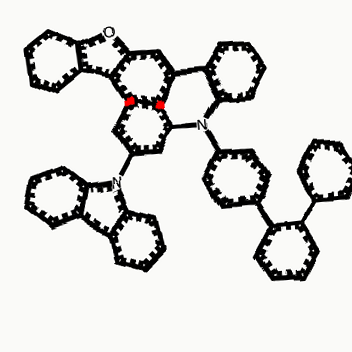 c1ccc(-c2ccccc2-c2ccc(N(c3cccc(-n4c5ccccc5c5ccccc54)c3)c3ccccc3-c3ccc4c(c3)oc3ccccc34)cc2)cc1